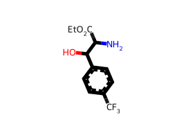 CCOC(=O)C(N)C(O)c1ccc(C(F)(F)F)cc1